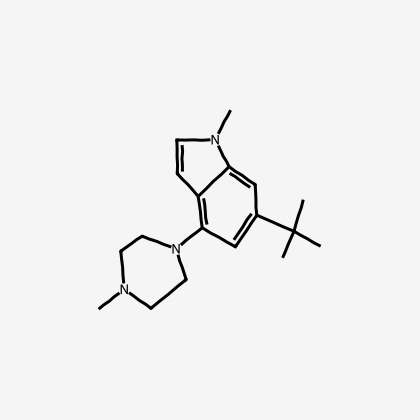 CN1CCN(c2cc(C(C)(C)C)cc3c2ccn3C)CC1